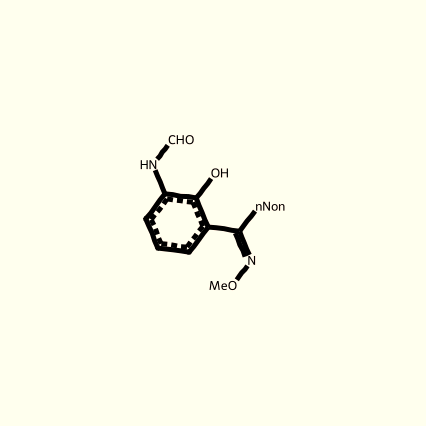 CCCCCCCCC/C(=N/OC)c1cccc(NC=O)c1O